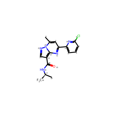 Cc1cc(-c2cccc(Cl)n2)nc2c(C(=O)N[C@@H](C)C(F)(F)F)cnn12